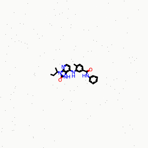 CCC(C)n1c(=O)[nH]c2c(Nc3cc(C(=O)Nc4ccccc4)ccc3C)ccnc21